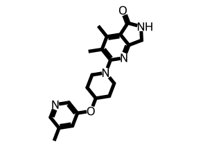 Cc1cncc(OC2CCN(c3nc4c(c(C)c3C)C(=O)NC4)CC2)c1